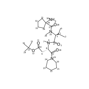 CC(C)[C@@H](C(=O)N(C)[C@@H](CC(=O)OC(C)(C)C)C(=O)N1CCCCC1)N(C)C(=O)C1(N)CCCC1